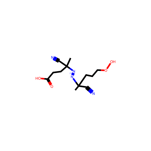 CC(C#N)(CCCOO)/N=N/C(C)(C#N)CCC(=O)O